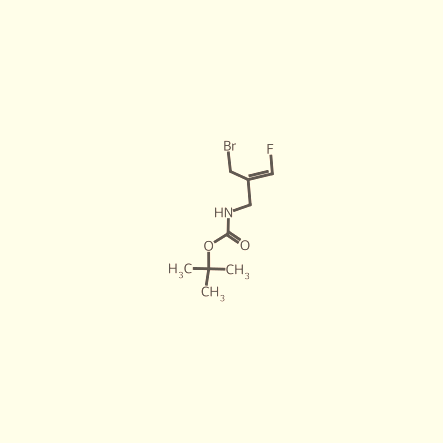 CC(C)(C)OC(=O)NCC(=CF)CBr